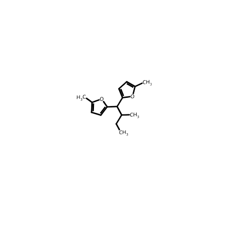 CCC(C)C(c1ccc(C)o1)c1ccc(C)o1